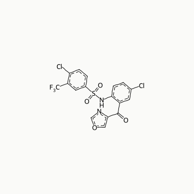 O=C(c1cocn1)c1cc(Cl)ccc1NS(=O)(=O)c1ccc(Cl)c(C(F)(F)F)c1